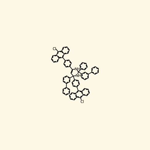 Clc1c2ccccc2c(-c2ccc(C3=CC(c4ccc(-c5c6ccccc6c(Cl)c6ccccc56)cc4)(c4cccc(-c5ccccc5)c4)NC(c4ccccc4)(c4cccc(-c5ccccc5)c4)N3)cc2)c2ccccc12